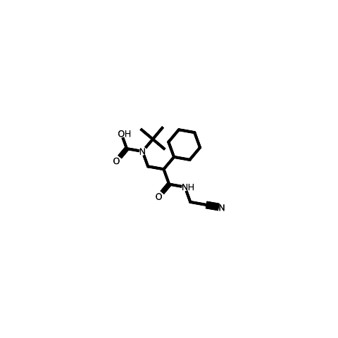 CC(C)(C)N(CC(C(=O)NCC#N)C1CCCCC1)C(=O)O